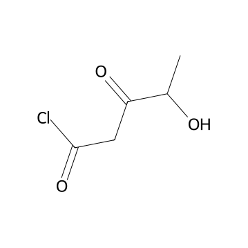 CC(O)C(=O)CC(=O)Cl